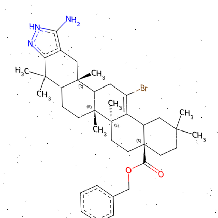 CC1(C)CC[C@]2(C(=O)OCc3ccccc3)CC[C@]3(C)C(=C(Br)CC4[C@@]5(C)Cc6c(n[nH]c6N)C(C)(C)C5CC[C@]43C)C2C1